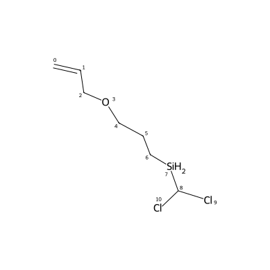 C=CCOCCC[SiH2]C(Cl)Cl